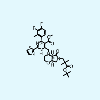 COC(=O)C1=C(CN2CCO[C@H]3CN(CC(C)(C)C(=O)OC(C)(C)C)C(=O)[C@H]32)NC(c2nccs2)=N[C@H]1c1ccc(F)c(F)c1C